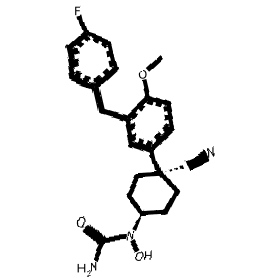 COc1ccc([C@]2(C#N)CC[C@H](N(O)C(N)=O)CC2)cc1Cc1ccc(F)cc1